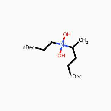 CCCCCCCCCCCCC(C)[N+](O)(O)CCCCCCCCCCCC